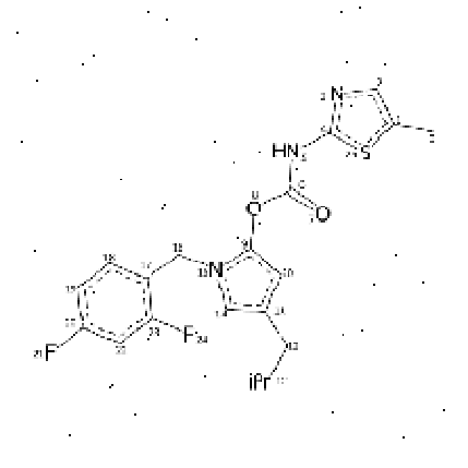 Cc1cnc(NC(=O)Oc2cc(CC(C)C)cn2Cc2ccc(F)cc2F)s1